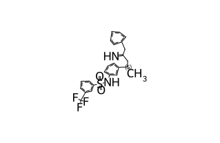 C[C@@H](CC(=N)Cc1ccccc1)c1cccc(NS(=O)(=O)c2cccc(C(F)(F)F)c2)c1